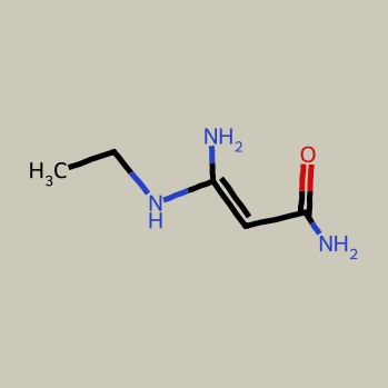 CCNC(N)=CC(N)=O